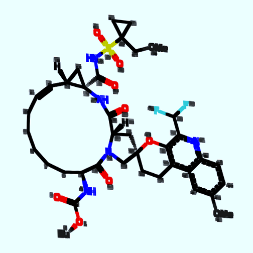 CC[C@H](C)OC(=O)N[C@H]1CCCCC/C=C\[C@@H]2C[C@@]2(C(=O)NS(=O)(=O)C2(COC)CC2)NC(=O)[C@@H]2C[C@]3(CCc4c(c(C(F)F)nc5ccc(OC)cc45)O3)CN2C1=O